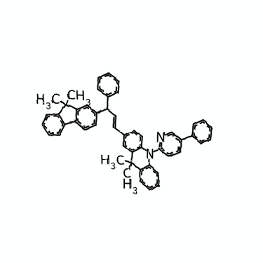 CC1(C)c2ccccc2-c2ccc(C(/C=C/c3ccc4c(c3)C(C)(C)c3ccccc3N4c3ccc(-c4ccccc4)cn3)c3ccccc3)cc21